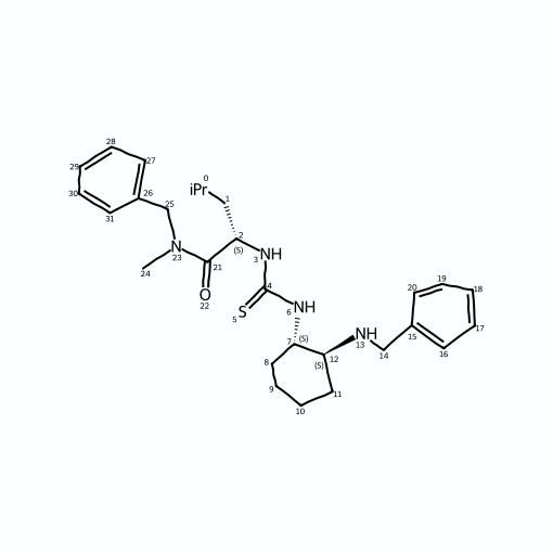 CC(C)C[C@H](NC(=S)N[C@H]1CCCC[C@@H]1NCc1ccccc1)C(=O)N(C)Cc1ccccc1